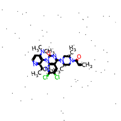 C=CC(=O)N1C[C@H](C)N(c2nc(=O)n(-c3c(N(C)C)ccnc3C(C)C)c3nc(Cl)c(Cl)cc23)C[C@H]1C